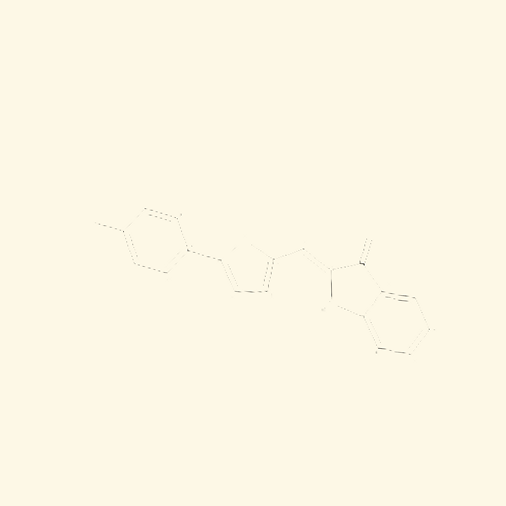 O=C1C(=Cc2ccc(-c3ccc(F)cc3)o2)Sc2ccccc21